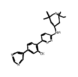 CC1(C)CC(Nc2ccc(-c3ccc(-c4cncnc4)cc3O)nn2)CC(C)(C)N1